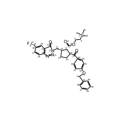 C[Si](C)(C)CCOC(=O)[C@H]1[C@H](Cn2nnc3ccc(C(F)(F)F)cc3c2=O)CC[C@@H]1C(=O)c1ccc(OCc2ccccc2)cc1